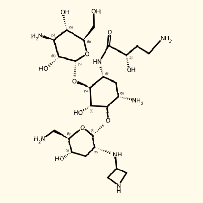 NCC[C@H](O)C(=O)N[C@@H]1C[C@H](N)C(O[C@H]2O[C@H](CN)[C@@H](O)C[C@H]2NC2CNC2)[C@H](O)[C@H]1O[C@H]1O[C@H](CO)[C@@H](O)[C@H](N)[C@H]1O